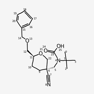 CC(C)(C)N(C[C@]1(C#N)CC[C@@H](COCc2ccccc2)OC1)C(=O)O